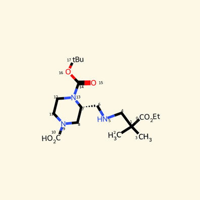 CCOC(=O)C(C)(C)CNC[C@@H]1CN(C(=O)O)CCN1C(=O)OC(C)(C)C